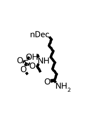 CCCCCCCCCCCCCCCCCC(N)=O.CCNC.COS(=O)(=O)O